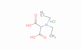 CCN(CC)C(C(=O)O)C(=O)O.Cl